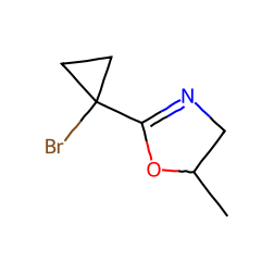 CC1CN=C(C2(Br)CC2)O1